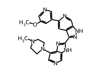 COc1cncc(-c2cc3c(-c4nc5c(N6CCN(C)CC6)cncc5[nH]4)n[nH]c3cn2)c1